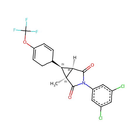 C[C@@]12C(=O)N(c3cc(Cl)cc(Cl)c3)C(=O)[C@@H]1[C@@H]2C1C=CC(OC(F)(F)F)=CC1